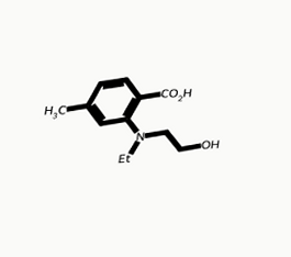 CCN(CCO)c1cc(C)ccc1C(=O)O